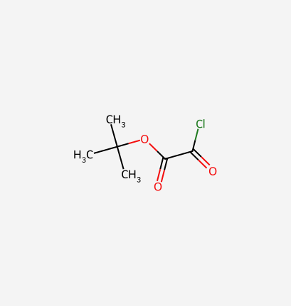 CC(C)(C)OC(=O)C(=O)Cl